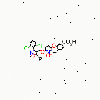 O=C(O)c1ccc2c(c1)Oc1ccc(OCc3c(-c4c(Cl)cccc4Cl)noc3C3CC3)[n+]([O-])c1CC2